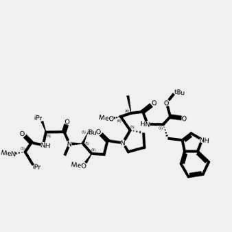 CC[C@H](C)[C@@H]([C@@H](CC(=O)N1CCC[C@H]1[C@H](OC)[C@@H](C)C(=O)N[C@@H](Cc1c[nH]c2ccccc12)C(=O)OC(C)(C)C)OC)N(C)C(=O)[C@@H](NC(=O)[C@@H](NC)C(C)C)C(C)C